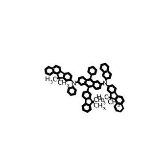 CC1(C)c2ccccc2-c2ccc(-c3c4ccc(N(c5ccc6c(c5)C(C)(C)c5c-6ccc6c5C=CCC6)c5ccc6ccccc6c5)cc4c(-c4ccccc4)c4ccc(N(c5ccccc5)c5ccc6c(c5)C(C)(C)c5c-6ccc6ccccc56)cc34)cc21